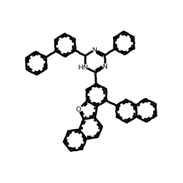 c1ccc(C2=NC(c3cccc(-c4ccccc4)c3)NC(c3cc(-c4ccc5ccccc5c4)c4c(c3)oc3c5ccccc5ccc34)=N2)cc1